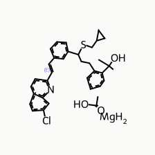 CC(=O)O.CC(C)(O)c1ccccc1CCC(SCC1CC1)c1cccc(/C=C/c2ccc3ccc(Cl)cc3n2)c1.[MgH2]